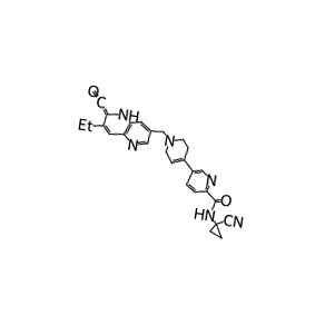 CCC1=Cc2ncc(CN3CC=C(c4ccc(C(=O)NC5(C#N)CC5)nc4)CC3)cc2NC1=C=O